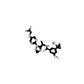 CC(NC(=O)c1cc(C(F)(F)F)cc(C2(C#N)CC2)c1)c1ncnn1-c1ncc(OCC(F)F)cn1